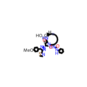 COc1ccc(-c2nn([C@@H]3C[C@H]4C(=O)N[C@@]5(C(=O)O)C[C@H]5/C=C\CCCCC[C@@H](NC(=O)Nc5ccccc5)C(=O)N4C3)nc2-c2nccs2)cc1